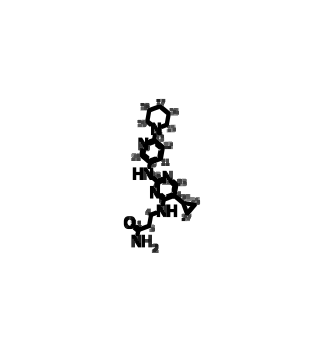 NC(=O)CCNc1nc(Nc2ccc(N3CCCCC3)nc2)ncc1C1CC1